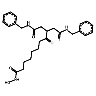 O=C(CCCCCCC(=O)C(CC(=O)NCc1ccccc1)CC(=O)NCc1ccccc1)NO